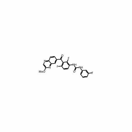 COc1cnc2ccc(C(=O)c3c(F)ccc(NC(=O)Nc4cccc(F)c4)c3F)cc2n1